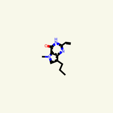 C=Cc1nc2c(CCC)cn(C)c2c(=O)[nH]1